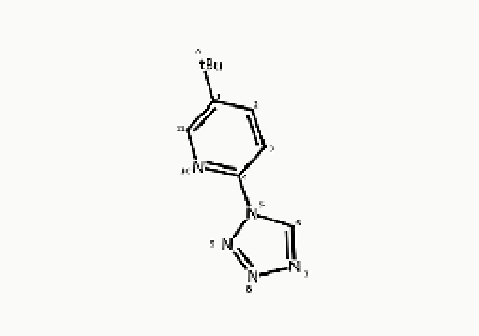 CC(C)(C)c1ccc(-n2cnnn2)nc1